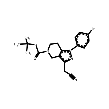 CC(C)(C)OC(=O)N1CCc2c(c(CC#N)nn2-c2ccc(Br)cc2)C1